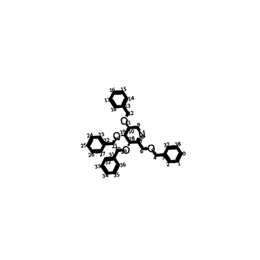 c1ccc(COCC2=NC[C@H](OCc3ccccc3)[C@@H](OCc3ccccc3)[C@@H]2OCc2ccccc2)cc1